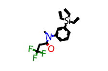 C=C[Si](C=C)(C=C)c1cccc(N(C)C(=O)CC(F)(F)F)c1